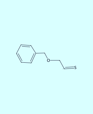 S=[C]COCc1ccccc1